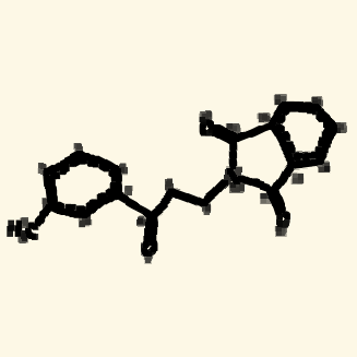 Cc1cccc(C(=O)CCN2C(=O)c3ccccc3C2=O)c1